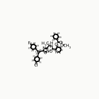 COc1ccnc(C(=O)N[C@@H](C)c2noc(C3C(c4ccc(F)cc4)C3c3ccc(Cl)cc3)n2)c1OC(=O)c1ccccc1